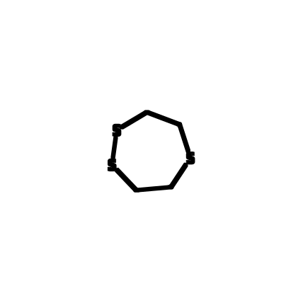 C1CSSCCS1